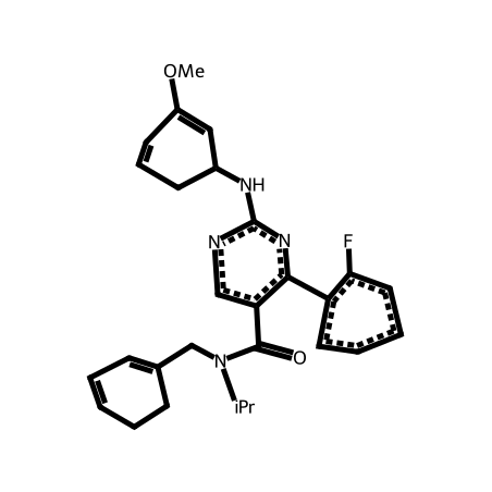 COC1=CC(Nc2ncc(C(=O)N(CC3=CC=CCC3)C(C)C)c(-c3ccccc3F)n2)CC=C1